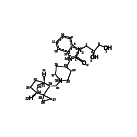 O=c1n(C[C@H](O)CO)c2ccccc2n1C1CCN(C[C@H]2[C@H]3CC[C@H](C3)C23CC3)CC1